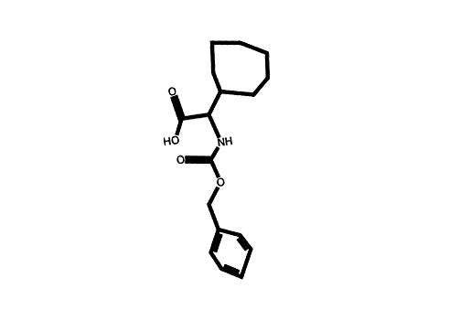 O=C(NC(C(=O)O)C1CCCCCC1)OCc1ccccc1